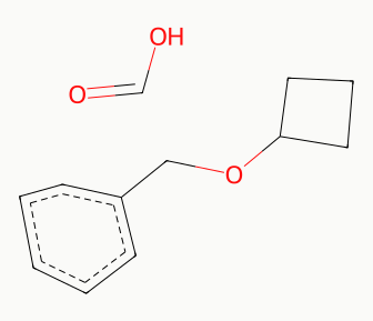 O=CO.c1ccc(COC2CCC2)cc1